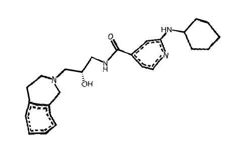 O=C(NC[C@H](O)CN1CCc2ccccc2C1)c1ccnc(NC2CCCCC2)c1